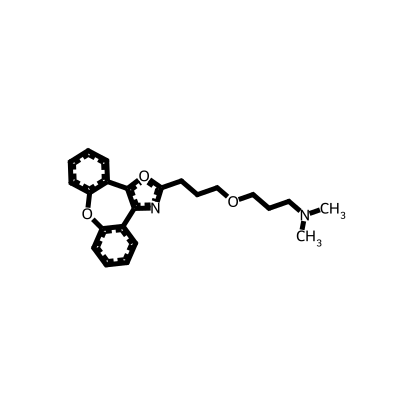 CN(C)CCCOCCCc1nc2c(o1)-c1ccccc1Oc1ccccc1-2